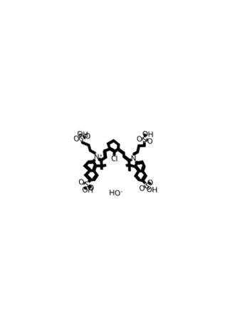 CC1(C)C(/C=C/C2=C(Cl)C(=C\C=C3/N(CCCCS(=O)(=O)O)c4ccc5cc(S(=O)(=O)O)ccc5c4C3(C)C)/CCC2)=[N+](CCCCS(=O)(=O)O)c2ccc3cc(S(=O)(=O)O)ccc3c21.[OH-]